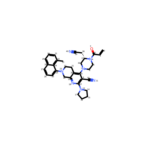 C=CC(=O)N1CCN(c2c(C#N)c(N3CCCC3)nc3c2CCN(c2cccc4cccc(C)c24)C3)C[C@@H]1CC#N